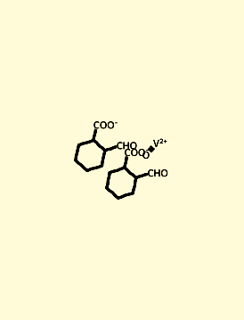 O=CC1CCCCC1C(=O)[O-].O=CC1CCCCC1C(=O)[O-].[O]=[V+2]